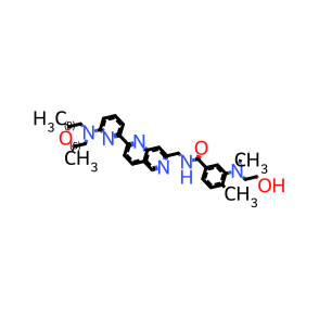 Cc1ccc(C(=O)NCc2cc3nc(-c4cccc(N5C[C@@H](C)O[C@@H](C)C5)n4)ccc3cn2)cc1N(C)CCO